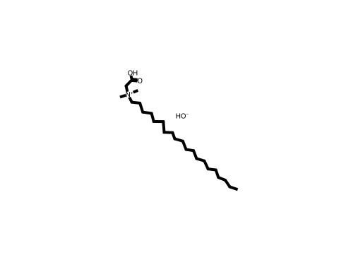 CCCCCCCCCCCCCCCCCCCC[N+](C)(C)CC(=O)O.[OH-]